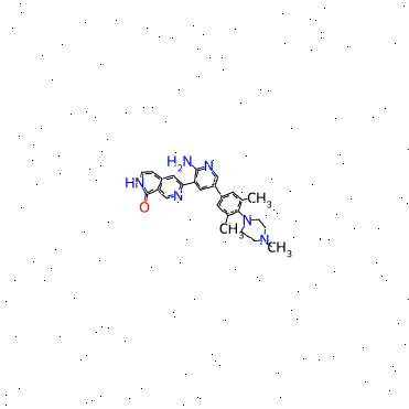 Cc1cc(-c2cnc(N)c(-c3cc4cc[nH]c(=O)c4cn3)c2)cc(C)c1N1CCN(C)CC1